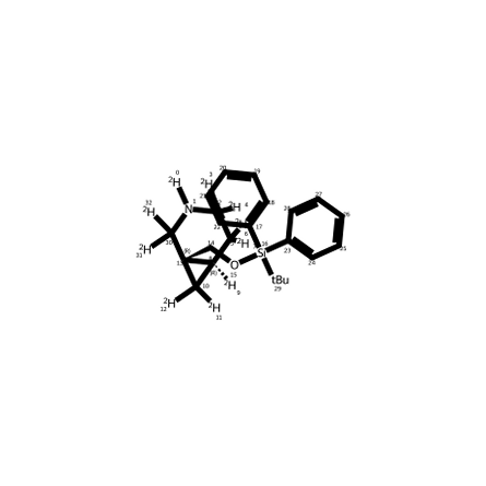 [2H]N1C([2H])([2H])C([2H])([2H])[C@@]2([2H])C([2H])([2H])[C@]2(CO[Si](c2ccccc2)(c2ccccc2)C(C)(C)C)C1([2H])[2H]